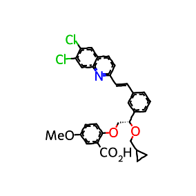 COc1ccc(OC[C@@H](OCC2CC2)c2cccc(/C=C/c3ccc4cc(Cl)c(Cl)cc4n3)c2)c(C(=O)O)c1